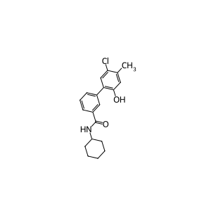 Cc1cc(O)c(-c2cccc(C(=O)NC3CCCCC3)c2)cc1Cl